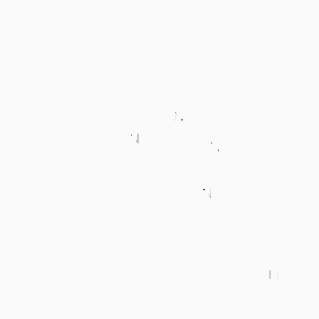 CSc1cc(C(C)C)ccc1-n1cc(C)c2c(N3CCC(C(C)O)CC3)nc(C)nc21